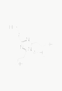 OCCC1=NC(CCO)N([AsH2])C(CCO)=N1